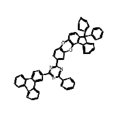 c1ccc(-c2nc(-c3ccc4c(c3)Oc3c(ccc5c3-c3ccccc3C5(c3ccccc3)c3ccccc3)O4)nc(-c3ccc4c5ccccc5c5ccccc5c4c3)n2)cc1